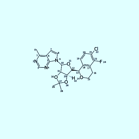 Cc1ncnc2c1ccn2C1OC([C@@H]2OCCc3c2ccc(Cl)c3F)[C@H]2OC(C)(C)OC12